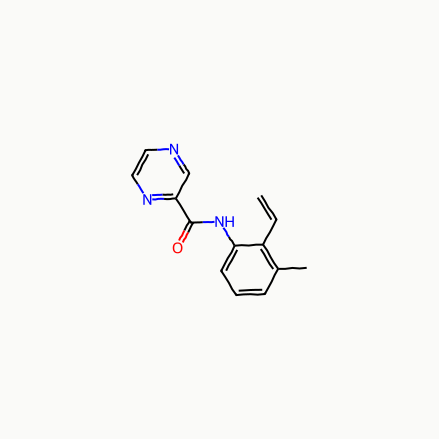 C=Cc1c(C)cccc1NC(=O)c1cnccn1